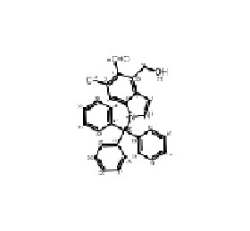 O=Cc1c(Cl)cc2c(cnn2C(c2ccccc2)(c2ccccc2)c2ccccc2)c1CO